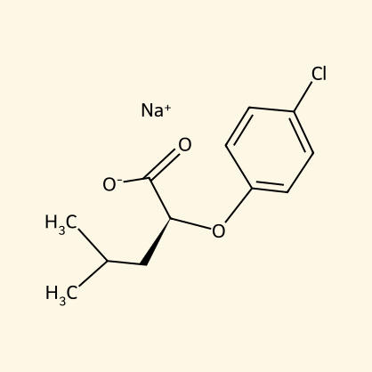 CC(C)C[C@H](Oc1ccc(Cl)cc1)C(=O)[O-].[Na+]